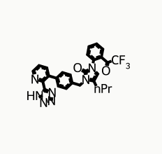 CCCc1cn(-c2ccccc2C(=O)C(F)(F)F)c(=O)n1Cc1ccc(-c2cccnc2-c2nnn[nH]2)cc1